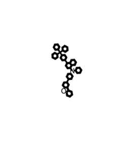 c1ccc(N(c2ccc(-c3ccc4oc5ccccc5c4c3)cc2)c2ccc(-c3ccc(C(c4ccccc4)(c4ccccc4)c4ccccc4)cc3)c3ccccc23)cc1